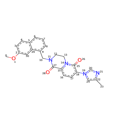 COc1ccc2cccc(CN3CCn4c(ccc(-n5cnc(C)c5)c4=O)C3=O)c2c1